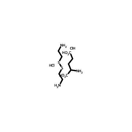 Cl.Cl.NC(CCC(=O)O)C(=O)O.NCCSSCCN